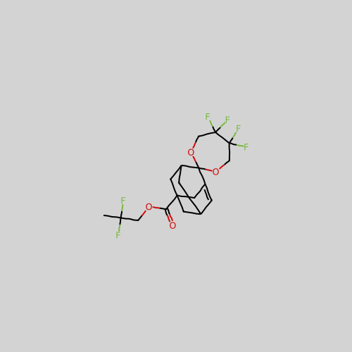 CC(F)(F)COC(=O)C12CC3=CC(CC(C1)C31OCC(F)(F)C(F)(F)CO1)C2